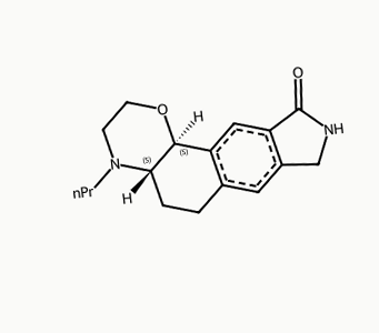 CCCN1CCO[C@H]2c3cc4c(cc3CC[C@@H]21)CNC4=O